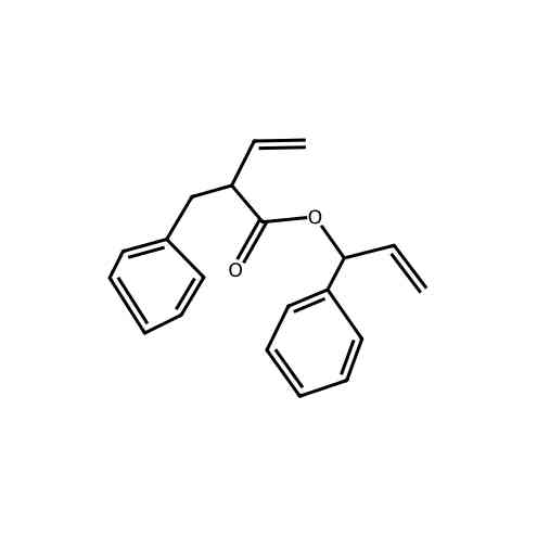 C=CC(Cc1ccccc1)C(=O)OC(C=C)c1ccccc1